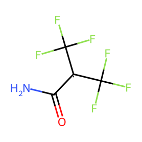 NC(=O)[C](C(F)(F)F)C(F)(F)F